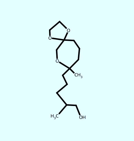 CC(CO)CCCC1(C)CCCC2(CO1)OCCO2